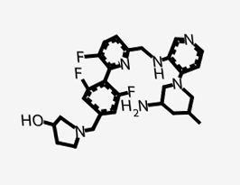 CC1CC(N)CN(c2ccncc2NCc2ccc(F)c(-c3c(F)cc(CN4CCC(O)C4)cc3F)n2)C1